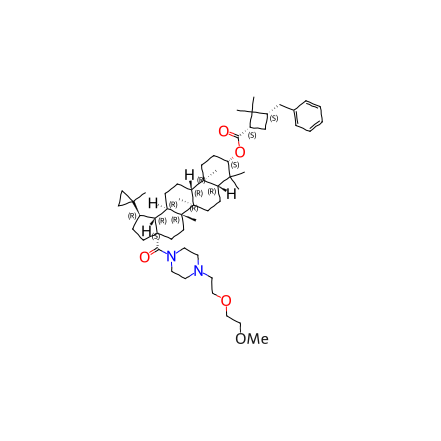 COCCOCCN1CCN(C(=O)[C@]23CC[C@@H](C4(C)CC4)[C@@H]2[C@H]2CC[C@@H]4[C@@]5(C)CC[C@H](OC(=O)[C@H]6C[C@@H](Cc7ccccc7)C6(C)C)C(C)(C)[C@@H]5CC[C@@]4(C)[C@]2(C)CC3)CC1